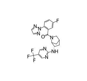 O=C(c1cc(F)ccc1-n1nccn1)N1CC2CC1[C@@H](Nc1ncc(C(F)(F)F)cn1)C2